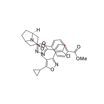 COC(=O)c1ccc(-c2nnc(N3C4CC[C@H]3C[C@@H](OCc3c(-c5c(Cl)cccc5Cl)noc3C3CC3)C4)o2)cc1